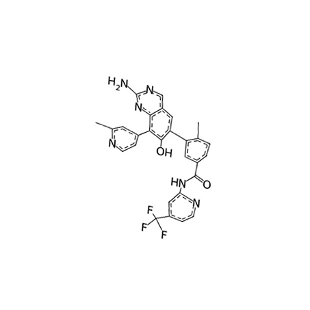 Cc1cc(-c2c(O)c(-c3cc(C(=O)Nc4cc(C(F)(F)F)ccn4)ccc3C)cc3cnc(N)nc23)ccn1